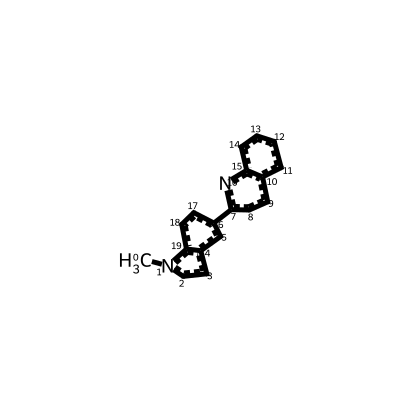 Cn1ccc2cc(-c3ccc4ccccc4n3)ccc21